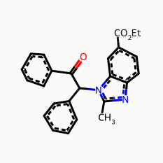 CCOC(=O)c1ccc2nc(C)n(C(C(=O)c3ccccc3)c3ccccc3)c2c1